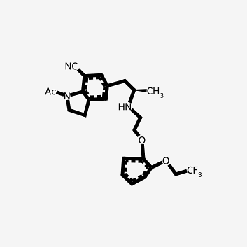 CC(=O)N1CCc2cc(C[C@@H](C)NCCOc3ccccc3OCC(F)(F)F)cc(C#N)c21